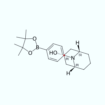 CC1(C)OB(c2ccc(N3[C@@H]4CCC[C@H]3C[C@@H](O)C4)cc2)OC1(C)C